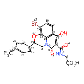 O=C(O)CNC(=O)c1c(O)c2ccc(Br)c3c2n(c1=O)CC(c1ccc(C(F)(F)F)cc1)O3